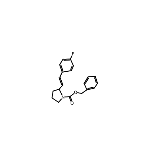 O=C(OCc1ccccc1)N1CCCC1/C=C/c1ccc(F)cc1